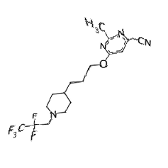 Cc1nc(C#N)cc(OCCCC2CCN(CC(F)(F)C(F)(F)F)CC2)n1